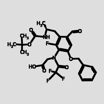 C[C@@H](Cc1c(C=O)cc(OCc2ccccc2)c(N(CC(=O)O)C(=O)C(F)(F)F)c1F)NC(=O)OC(C)(C)C